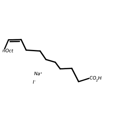 CCCCCCCC/C=C\CCCCCCCC(=O)O.[I-].[Na+]